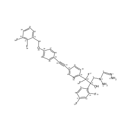 N/N=C\N(N)CC(O)(c1ccc(F)cc1F)C(F)(F)c1ccc(C#Cc2ccc(OCc3cccc(F)c3F)cc2)cn1